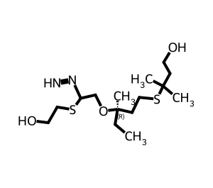 CC[C@](C)(CCSC(C)(C)CCO)OCC(N=N)SCCO